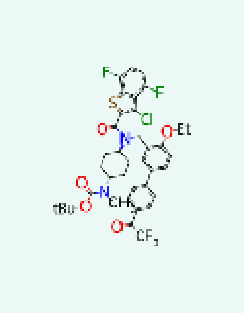 CCOc1ccc(-c2ccc(C(=O)C(F)(F)F)cc2)cc1CN(C(=O)c1sc2c(F)ccc(F)c2c1Cl)[C@H]1CC[C@H](N(C)C(=O)OC(C)(C)C)CC1